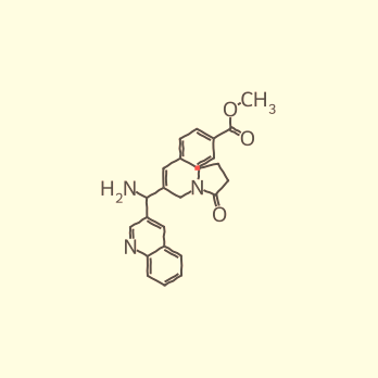 COC(=O)c1ccc(/C=C(\CN2CCCC2=O)C(N)c2cnc3ccccc3c2)cc1